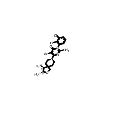 Cc1nc(N2CCC3(CC2)CO[C@@H](C)[C@H]3N)c(Br)c(=O)n1-c1cccc(Cl)c1Cl